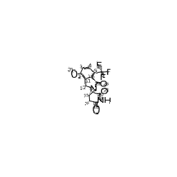 COc1ccc(C(F)(F)F)c2c1CN(C1CCC(=O)NC1=O)C2=O